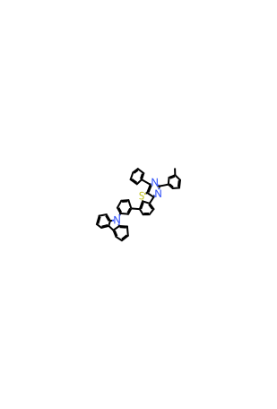 Cc1cccc(-c2nc(-c3ccccc3)c3sc4c(-c5cccc(-n6c7ccccc7c7ccccc76)c5)cccc4c3n2)c1